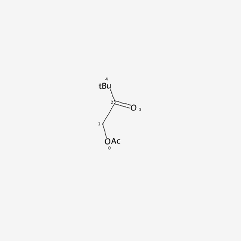 CC(=O)OCC(=O)C(C)(C)C